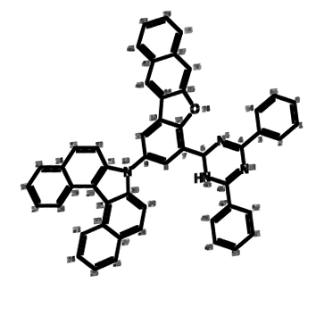 c1ccc(C2=NC(c3cc(-n4c5ccc6ccccc6c5c5c6ccccc6ccc54)cc4c3oc3cc5ccccc5cc34)NC(c3ccccc3)=N2)cc1